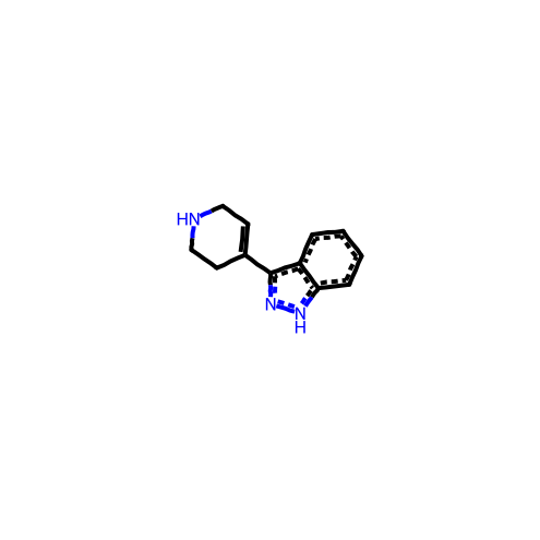 C1=C(c2n[nH]c3ccccc23)CCNC1